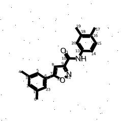 Cc1cc(C)cc(-c2cc(C(=O)Nc3ccc(C)c(C)c3)no2)c1